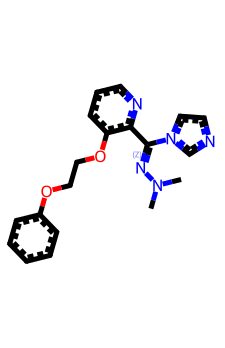 CN(C)/N=C(/c1ncccc1OCCOc1ccccc1)n1ccnc1